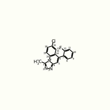 Cc1nnc2cc(-c3ccccc3F)c3cc(Cl)ccc3n12